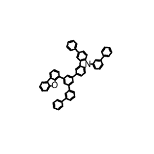 c1ccc(-c2cccc(-c3cc(-c4ccc5c(c4)c4cc(-c6ccccc6)ccc4n5-c4cccc(-c5ccccc5)c4)cc(-c4cccc5c4oc4ccccc45)c3)c2)cc1